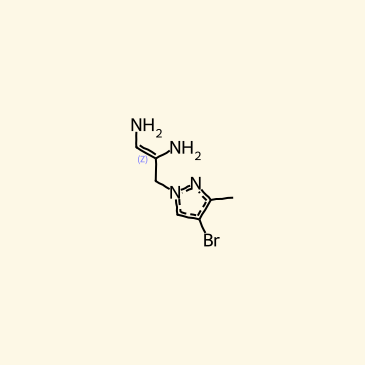 Cc1nn(C/C(N)=C/N)cc1Br